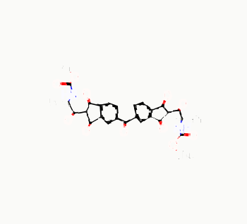 CC(C)[C@H](NC(=O)OC(C)(C)C)C(=O)C1C(=O)c2ccc(C(=O)c3ccc4c(c3)C(=O)C(C(=O)[C@@H](NC(=O)OC(C)(C)C)C(C)C)C4=O)cc2C1=O